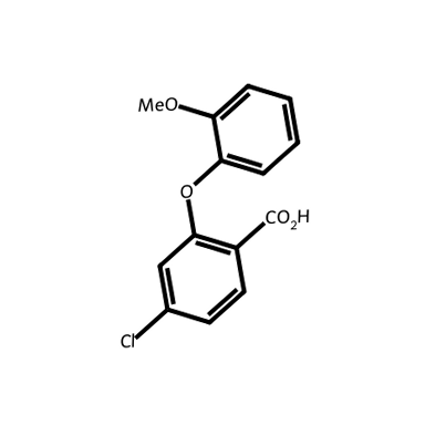 COc1ccccc1Oc1cc(Cl)ccc1C(=O)O